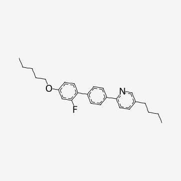 CCCCCOc1ccc(-c2ccc(-c3ccc(CCCC)cn3)cc2)c(F)c1